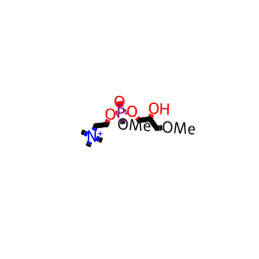 COCC(O)COP(=O)(OC)OCC[N+](C)(C)C